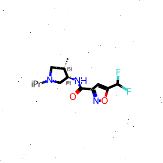 CC(C)N1C[C@H](NC(=O)c2cc(C(F)F)on2)[C@@H](C)C1